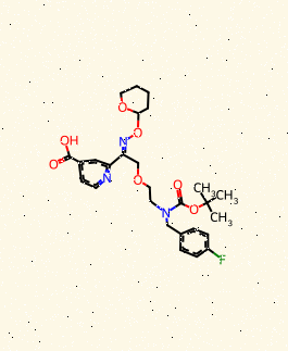 CC(C)(C)OC(=O)N(CCOC/C(=N\OC1CCCCO1)c1cc(C(=O)O)ccn1)Cc1ccc(F)cc1